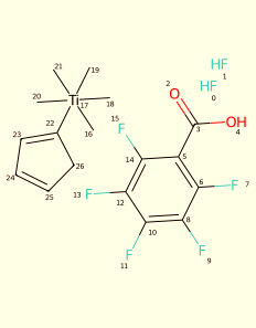 F.F.O=C(O)c1c(F)c(F)c(F)c(F)c1F.[CH3][Ti]([CH3])([CH3])([CH3])([CH3])[C]1=CC=CC1